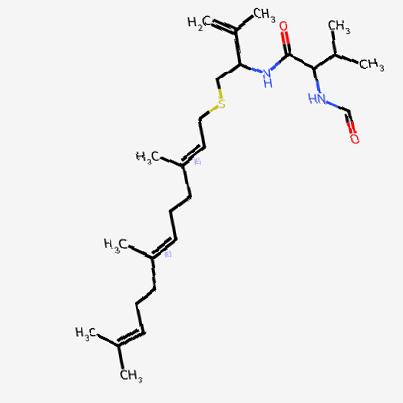 C=C(C)C(CSC/C=C(\C)CC/C=C(\C)CCC=C(C)C)NC(=O)C(NC=O)C(C)C